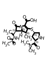 CC(NS(C)(=O)=O)[C@H]1C(=O)N2C(C(=O)O)=C(S[C@@H]3CN[C@H](C(=O)N(C)C)C3)[C@H](C)[C@H]12